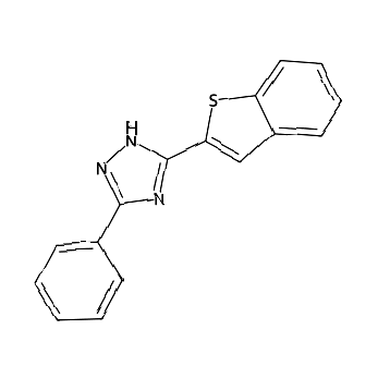 c1ccc(-c2n[nH]c(-c3cc4ccccc4s3)n2)cc1